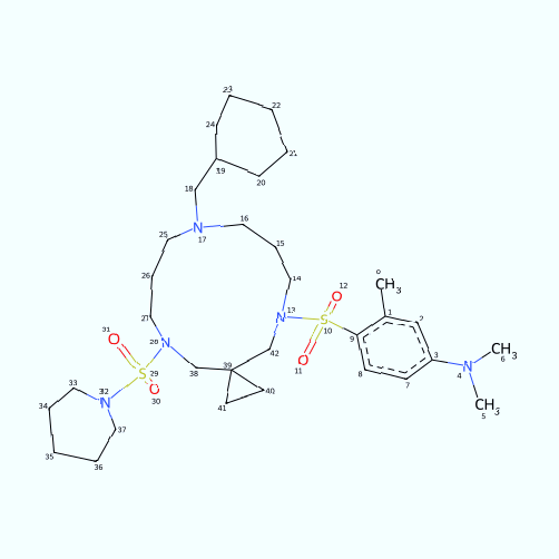 Cc1cc(N(C)C)ccc1S(=O)(=O)N1CCCN(CC2CCCCC2)CCCN(S(=O)(=O)N2CCCCC2)CC2(CC2)C1